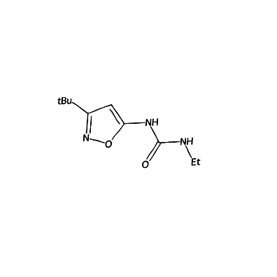 CCNC(=O)Nc1cc(C(C)(C)C)no1